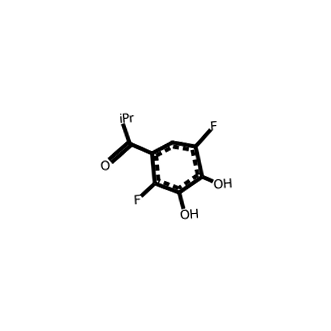 CC(C)C(=O)c1cc(F)c(O)c(O)c1F